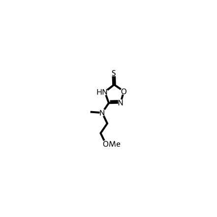 COCCN(C)c1noc(=S)[nH]1